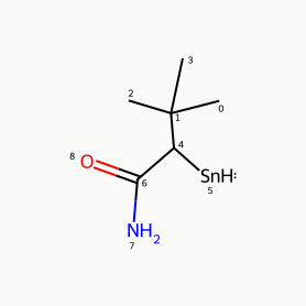 CC(C)(C)[CH]([SnH])C(N)=O